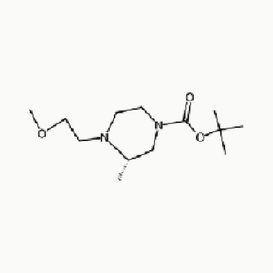 COCCN1CCN(C(=O)OC(C)(C)C)C[C@@H]1C